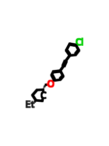 CC[C@H]1CC[C@H](COc2ccc(C#Cc3ccc(Cl)cc3)cc2)CC1